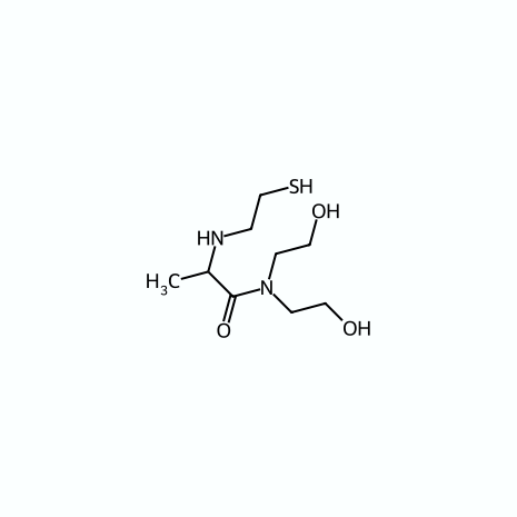 CC(NCCS)C(=O)N(CCO)CCO